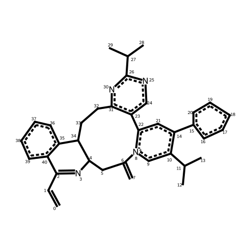 C=CC1=NC2CC(=C)[n+]3cc(C(C)C)c(-c4ccccc4)cc3-c3cnc(C(C)C)nc3CCC2c2ccccc21